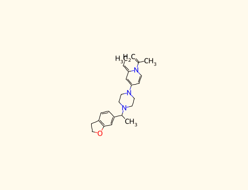 C=C(C)N1C=CC(N2CCN(C(C)c3ccc4c(c3)OCC4)CC2)=C/C1=C/C